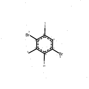 Cc1c(Br)c(I)cc(Br)c1I